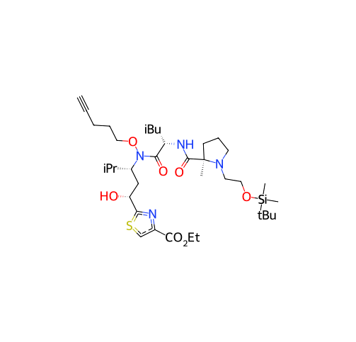 C#CCCCON(C(=O)[C@@H](NC(=O)[C@@]1(C)CCCN1CCO[Si](C)(C)C(C)(C)C)[C@@H](C)CC)[C@H](C[C@@H](O)c1nc(C(=O)OCC)cs1)C(C)C